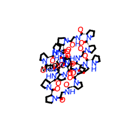 CSCC[C@H](NC(=O)[C@@H]1CCCN1C(=O)CNC(=O)[C@@H]1CCCN1C(=O)[C@@H]1CCCN1C(=O)CNC(=O)[C@@H]1CCCN1C(=O)[C@@H]1CCCN1)C(=O)NCC(=O)N1CCC[C@H]1C(=O)N1CCC[C@H]1C(=O)NCC(=O)N1CCC[C@H]1C(=O)N1CCC[C@H]1C(=O)NCC(=O)N1CCC[C@H]1C(=O)N1CCC[C@H]1C(=O)NCC(=O)N1CCC[C@H]1C(=O)N1CCC[C@H]1C(=O)NCC(=O)O